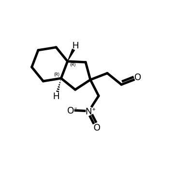 O=CCC1(C[N+](=O)[O-])C[C@H]2CCCC[C@@H]2C1